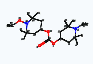 CC(=O)ON1C(C)(C)CC(OC(=O)OC2CC(C)(C)N(OC=O)C(C)(C)C2)CC1(C)C